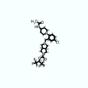 CC(=O)NC1CCN(c2ccc(Cl)cc2CN2CC3CN(C(=O)OC(C(F)(F)F)C(F)(F)F)CC3C2)CC1